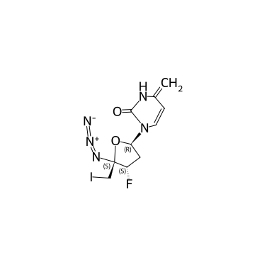 C=C1C=CN([C@H]2C[C@H](F)[C@](CI)(N=[N+]=[N-])O2)C(=O)N1